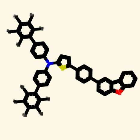 [2H]c1c([2H])c([2H])c(-c2ccc(N(c3ccc(-c4c([2H])c([2H])c([2H])c([2H])c4[2H])cc3)c3ccc(-c4ccc(-c5ccc6oc7ccccc7c6c5)cc4)s3)cc2)c([2H])c1[2H]